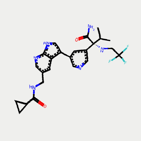 CC(C)[C@](NCC(F)(F)F)(C(N)=O)c1cncc(-c2c[nH]c3ncc(CNC(=O)C4CC4)cc23)c1